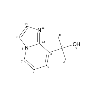 CC(C)(O)c1cccn2c[c]nc12